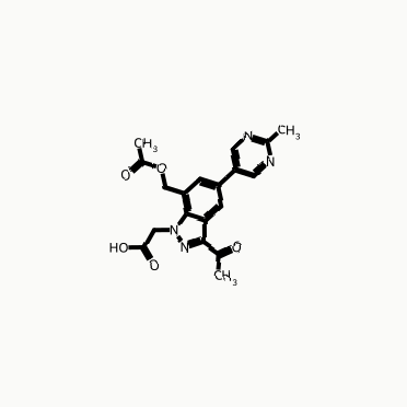 CC(=O)OCc1cc(-c2cnc(C)nc2)cc2c(C(C)=O)nn(CC(=O)O)c12